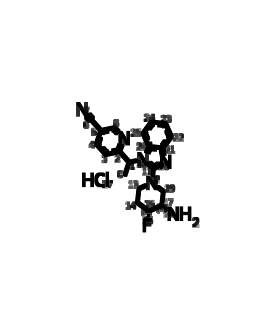 CC(c1ccc(C#N)cn1)n1c(N2CC[C@@H](F)[C@H](N)C2)nc2ccccc21.Cl